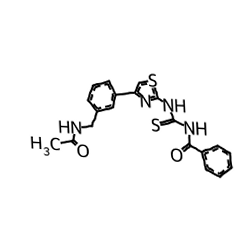 CC(=O)NCc1cccc(-c2csc(NC(=S)NC(=O)c3ccccc3)n2)c1